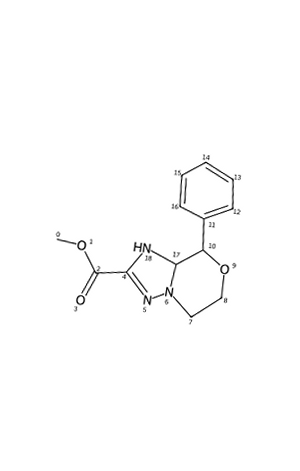 COC(=O)C1=NN2CCOC(c3ccccc3)C2N1